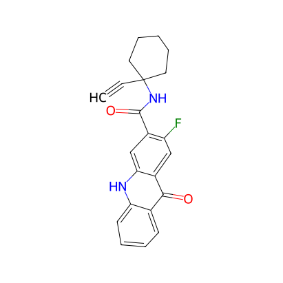 C#CC1(NC(=O)c2cc3[nH]c4ccccc4c(=O)c3cc2F)CCCCC1